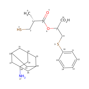 C[C@@H](CS)C(=O)OC(CSc1ccccc1)C(=O)O.NC12CC3CC(CC(C3)C1)C2